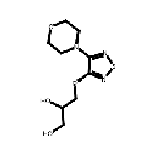 OCC(O)COc1nsnc1N1CCOCC1